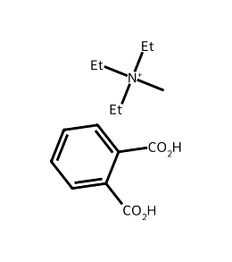 CC[N+](C)(CC)CC.O=C(O)c1ccccc1C(=O)O